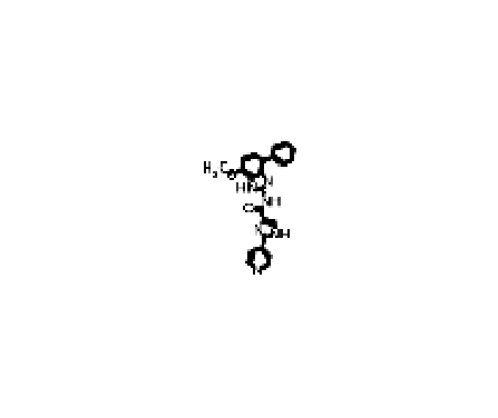 COc1ccc(-c2ccccc2)c2nc(NC(=O)c3c[nH]c(-c4ccncc4)n3)[nH]c12